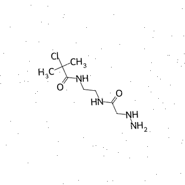 CC(C)(Cl)C(=O)NCCNC(=O)CNN